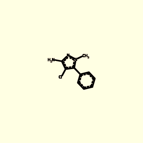 Cn1nc(N)c(Cl)c1-c1ccccc1